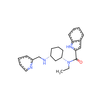 CCN(C(=O)c1cc2ccccc2[nH]1)[C@H]1CCC[C@@H](NCc2ccccn2)C1